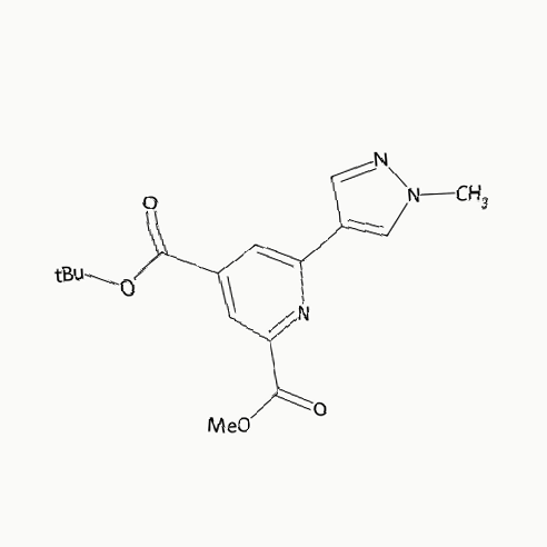 COC(=O)c1cc(C(=O)OC(C)(C)C)cc(-c2cnn(C)c2)n1